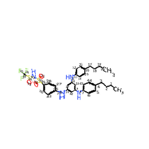 CCCCc1ccc(Nc2cc(Nc3ccc(CCCC)cc3)cc(Nc3ccc(S(=O)(=O)N[S+]([O-])C(F)(F)F)cc3)c2)cc1